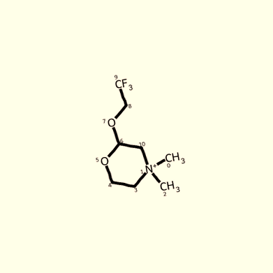 C[N+]1(C)CCOC(OCC(F)(F)F)C1